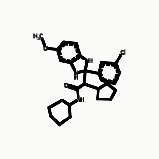 COc1ccc2c(c1)NC(c1cccc(Cl)c1)(C(C(=O)NC1CCCCC1)C1CCCC1)N2